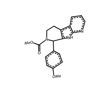 COC(=O)N1CCc2c([nH]c3ncccc23)C1c1ccc(OC)cc1